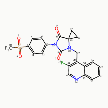 O=C1N(c2ccc(S(=O)(=O)C(F)(F)F)cc2)C(=O)C2(CC2)N1Cc1c(F)cnc2ccccc12